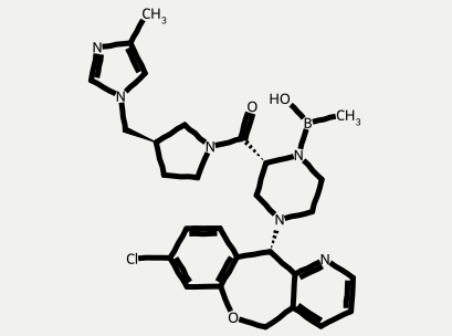 CB(O)N1CCN([C@H]2c3ccc(Cl)cc3OCc3cccnc32)C[C@@H]1C(=O)N1CC[C@@H](Cn2cnc(C)c2)C1